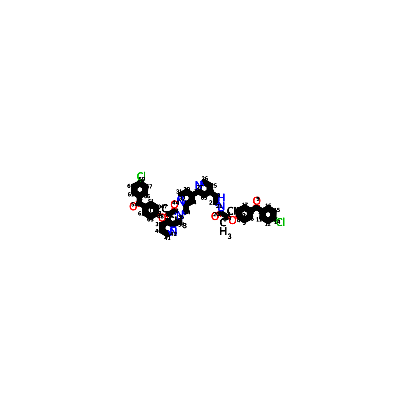 CC(C)(Oc1ccc(C(=O)c2ccc(Cl)cc2)cc1)C(=O)NCCc1ccnc(-c2ccnc(CN(Cc3ccccn3)C(=O)C(C)(C)Oc3ccc(C(=O)c4ccc(Cl)cc4)cc3)c2)c1